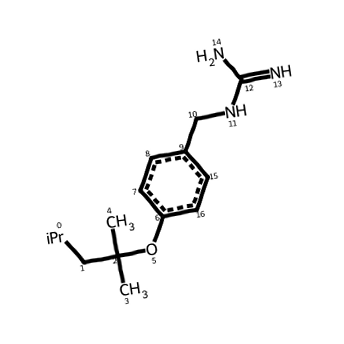 CC(C)CC(C)(C)Oc1ccc(CNC(=N)N)cc1